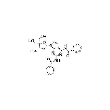 C[C@H]1C[C@H](n2ccc3c(NC(=O)c4ccccc4)nc(NC(=O)c4ccccc4)nc32)OC1(CO)CO